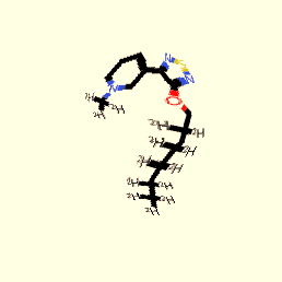 [2H]C([2H])([2H])N1CCC=C(c2nsnc2OCC([2H])([2H])C([2H])([2H])C([2H])([2H])C([2H])([2H])C([2H])([2H])[2H])C1